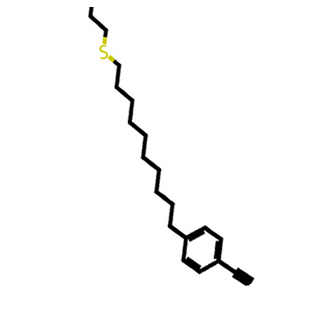 C#Cc1ccc(CCCCCCCCCCSCCC)cc1